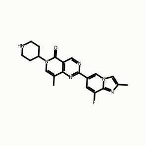 Cc1cn2cc(-c3ncc4c(=O)n(C5CCNCC5)cc(C)c4n3)cc(F)c2n1